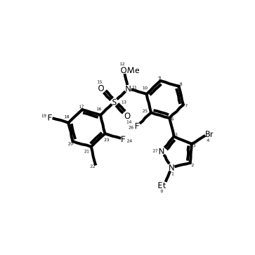 CCn1cc(Br)c(-c2cccc(N(OC)S(=O)(=O)c3cc(F)cc(C)c3F)c2F)n1